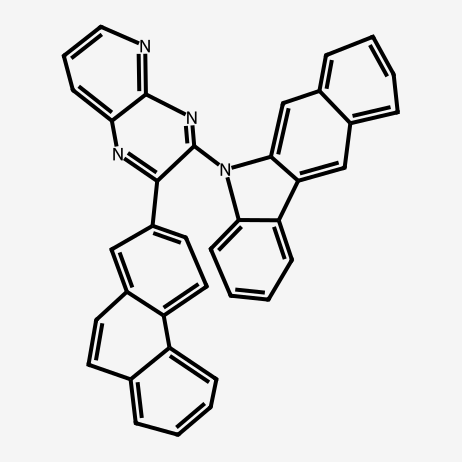 c1ccc2cc3c(cc2c1)c1ccccc1n3-c1nc2ncccc2nc1-c1ccc2c(ccc3ccccc32)c1